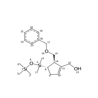 C[Si](C)(C)O[Si](C)(C)[C@H]1CC=C(CO)[C@@H]1COCc1ccccc1